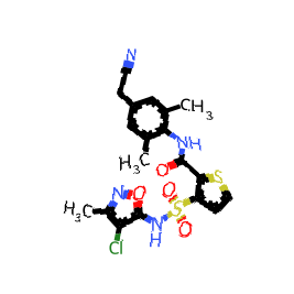 Cc1cc(CC#N)cc(C)c1NC(=O)c1sccc1S(=O)(=O)Nc1onc(C)c1Cl